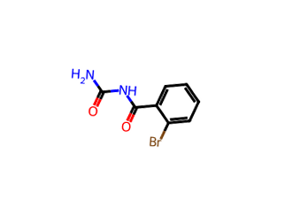 NC(=O)NC(=O)c1ccccc1Br